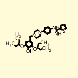 CCC(CC)Oc1cc(CN2CCN(c3ccc(NC(=N)c4cccs4)cc3)CC2)cc(OC(CC)CC)c1O